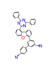 N#Cc1ccc(-c2cc(C#N)cc(-c3cccc4c3oc3cccc(-c5nc(-c6ccccc6)nc(-c6ccccc6)n5)c34)c2)cc1